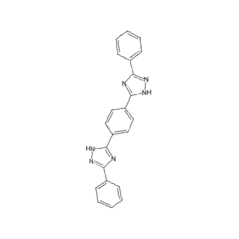 c1ccc(-c2n[nH]c(-c3ccc(-c4nc(-c5ccccc5)n[nH]4)cc3)n2)cc1